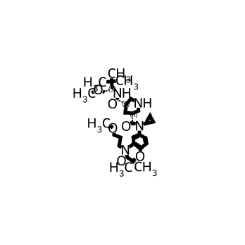 COCCCN1C(=O)C(C)(C)Oc2ccc(N(C(=O)[C@H]3CNC[C@@H](C(=O)N[C@H](COC)C(C)(C)C)C3)C3CC3)cc21